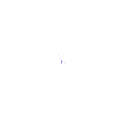 C1COCCN1.c1cscn1